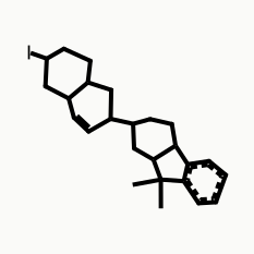 CC1(C)c2ccccc2C2CCC(C3C=CC4CC(I)CCC4C3)CC21